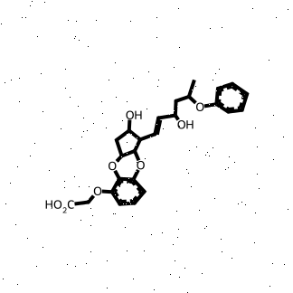 CC(CC(O)C=CC1C(O)CC2Oc3c(OCC(=O)O)cccc3OC21)Oc1ccccc1